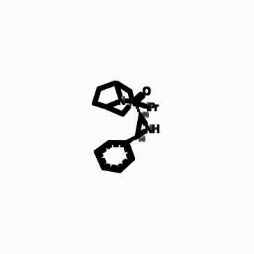 CC(C)N1CC2CCC(C1)N2C(=O)[C@@H]1N[C@H]1c1ccccc1